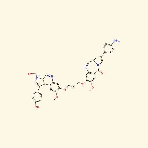 COc1cc2c(cc1OCCCOc1cc(/N=C\C3CC(c4ccc(O)cc4)=CN3C=O)c(C)cc1OC)N=CC1CC(c3ccc(N)cc3)=CN1C2=O